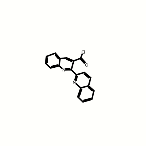 O=C(Cl)c1cc2ccccc2nc1-c1ccc2ccccc2n1